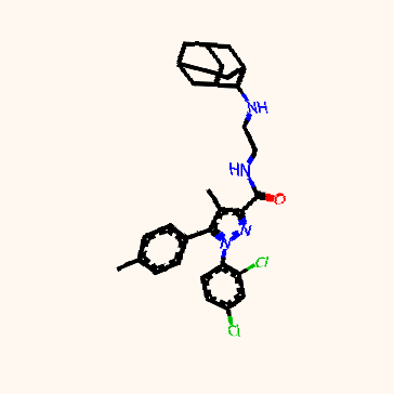 Cc1ccc(-c2c(C)c(C(=O)NCCNC3C4CC5CC(C4)CC3C5)nn2-c2ccc(Cl)cc2Cl)cc1